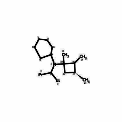 CCC(C(C)C)N(C1CCCCC1)C1(C)C[C@@H](C)C1C